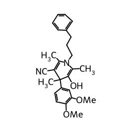 COc1ccc(C2(C)C(O)=C(C)N(CCCc3ccccc3)C(C)=C2C#N)cc1OC